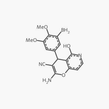 Bc1cc(C2C(C#N)=C(N)Oc3ccnc(O)c32)cc(OC)c1OC